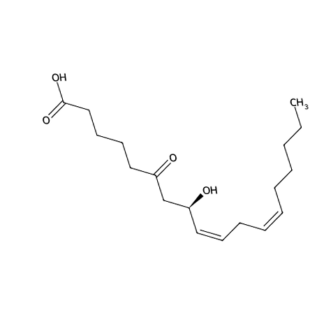 CCCCC/C=C\C/C=C\[C@H](O)CC(=O)CCCCC(=O)O